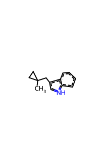 CC1(Cc2c[nH]c3ccccc23)CC1